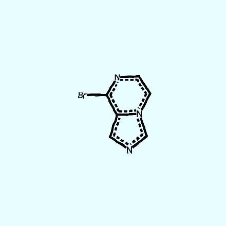 Brc1nccn2cncc12